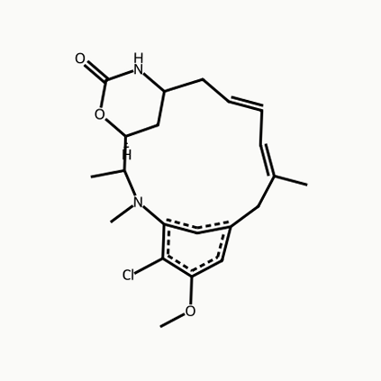 COc1cc2cc(c1Cl)N(C)C(C)[C@@H]1CC(C/C=C/C=C(\C)C2)NC(=O)O1